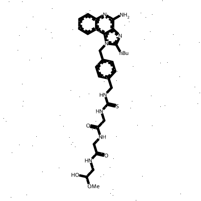 CCCCc1nc2c(N)nc3ccccc3c2n1Cc1ccc(CNC(=S)NCC(=O)NCC(=O)NCC(O)OC)cc1